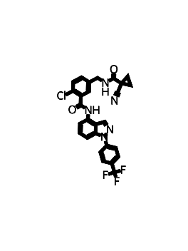 N#CC1(C(=O)NCc2ccc(Cl)c(C(=O)Nc3cccc4c3cnn4-c3ccc(C(F)(F)F)cc3)c2)CC1